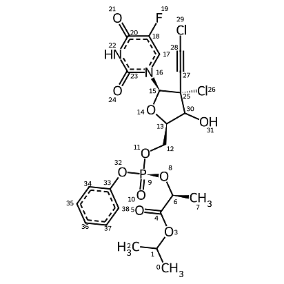 CC(C)OC(=O)[C@H](C)O[P@](=O)(OC[C@H]1O[C@@H](n2cc(F)c(=O)[nH]c2=O)[C@@](Cl)(C#CCl)C1O)Oc1ccccc1